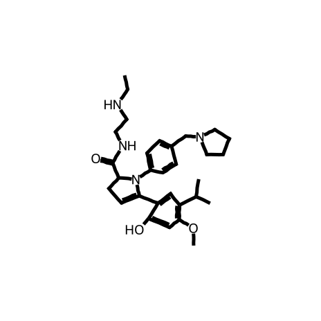 CCNCCNC(=O)C1CC=C(c2cc(C(C)C)c(OC)cc2O)N1c1ccc(CN2CCCC2)cc1